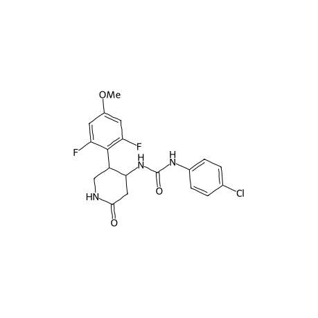 COc1cc(F)c(C2CNC(=O)CC2NC(=O)Nc2ccc(Cl)cc2)c(F)c1